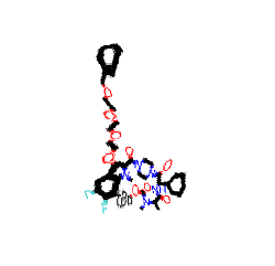 CC(C(=O)NC(C(=O)N1CCN(C(=O)c2c(OCCOCCOCCOCc3ccccc3)c3cc(F)c(F)cc3n2C)CC1)C1CCCCC1)N(C)C(=O)OC(C)(C)C